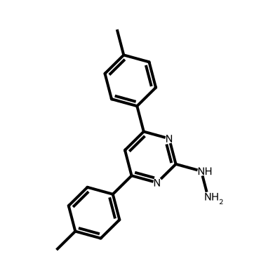 Cc1ccc(-c2cc(-c3ccc(C)cc3)nc(NN)n2)cc1